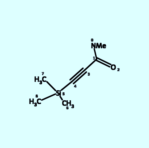 CNC(=O)C#C[Si](C)(C)C